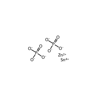 O=P([O-])([O-])[O-].O=P([O-])([O-])[O-].[Sn+4].[Zn+2]